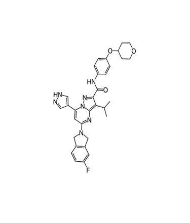 CC(C)c1c(C(=O)Nc2ccc(OC3CCOCC3)cc2)nn2c(-c3cn[nH]c3)cc(N3Cc4ccc(F)cc4C3)nc12